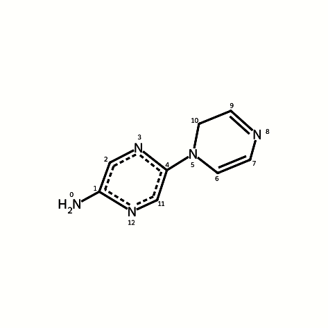 Nc1cnc(N2C=CN=CC2)cn1